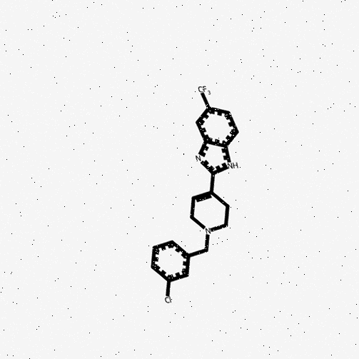 FC(F)(F)c1ccc2[nH]c(C3=CCN(Cc4cccc(Cl)c4)CC3)nc2c1